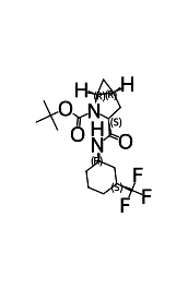 CC(C)(C)OC(=O)N1[C@@H]2C[C@@H]2C[C@H]1C(=O)N[C@@H]1CCC[C@H](C(F)(F)F)C1